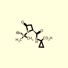 CC(C)(C)[Si](C)(C)N1C(=O)C[C@H]1C(=O)NC1(C(=O)O)CC1